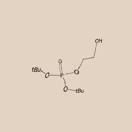 CC(C)(C)OP(=O)(OCCO)OC(C)(C)C